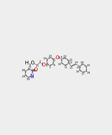 CC(COc1ccc(Oc2ccc(/C=C/c3ccccc3)cc2)cc1)Oc1ccccn1